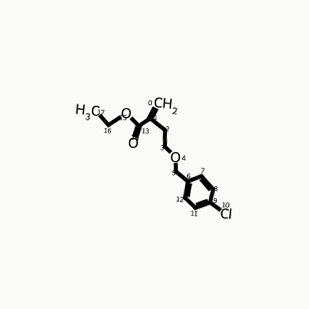 C=C(CCOCc1ccc(Cl)cc1)C(=O)OCC